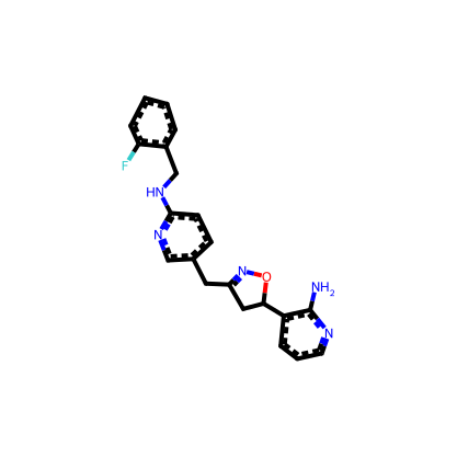 Nc1ncccc1C1CC(Cc2ccc(NCc3ccccc3F)nc2)=NO1